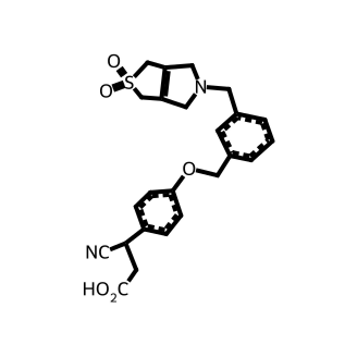 N#CC(CC(=O)O)c1ccc(OCc2cccc(CN3CC4=C(C3)CS(=O)(=O)C4)c2)cc1